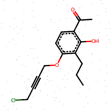 CCCc1c(OCC#CCCl)ccc(C(C)=O)c1O